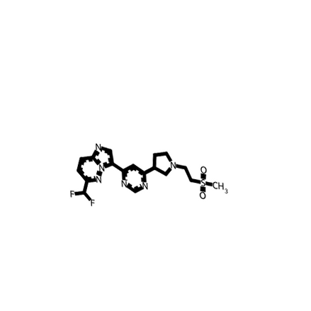 CS(=O)(=O)CCN1CCC(c2cc(-c3cnc4ccc(C(F)F)nn34)ncn2)C1